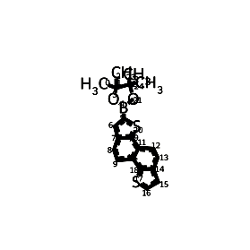 CC1(C)OB(c2cc3ccc4c(ccc5ccsc54)c3s2)OC1(C)C